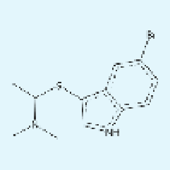 CC(Sc1c[nH]c2ccc(Br)cc12)N(C)C